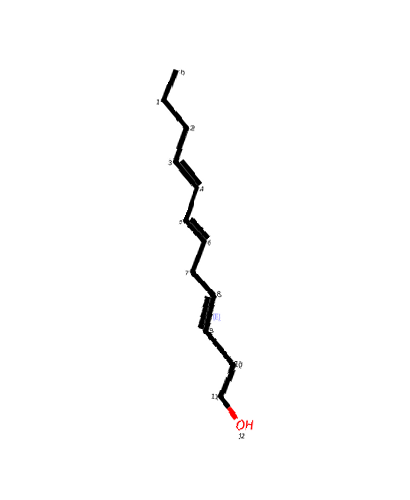 CCCC=CC=CC/C=C/CCO